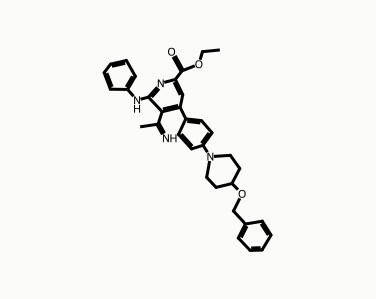 CCOC(=O)c1cc(-c2ccc(N3CCC(OCc4ccccc4)CC3)cc2)c(C(C)=N)c(Nc2ccccc2)n1